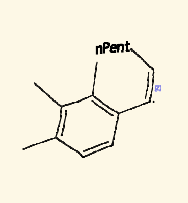 CCCCC/C=[C]\c1ccc(C)c(C)c1C